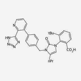 CCCc1cn(-c2c(C(=O)O)cccc2C(C)(C)C)c(=O)n1Cc1ccc(-c2cccnc2-c2nnn[nH]2)cc1